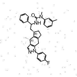 Cc1cccc(N(C)C(=O)NC(C[C@H]2CCC3=C2[C@@H](C)c2cnn(-c4ccc(F)cc4)c2C3)c2ccccc2)c1